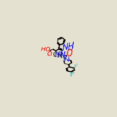 CC(CC(=O)O)c1c(NC(=O)N2CCC(c3ccc(F)cc3F)CC2)[nH]c2ccccc12